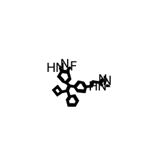 Fc1n[nH]c2ccc(/C(=C(/c3ccccc3)C3CCC3)c3ccc(/C=C/c4nnc[nH]4)cc3)cc12